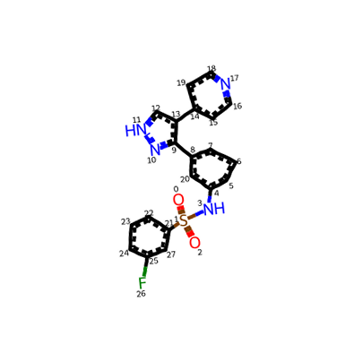 O=S(=O)(Nc1cccc(-c2n[nH]cc2-c2ccncc2)c1)c1cccc(F)c1